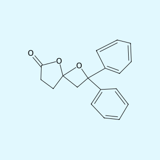 O=C1CCC2(CC(c3ccccc3)(c3ccccc3)O2)O1